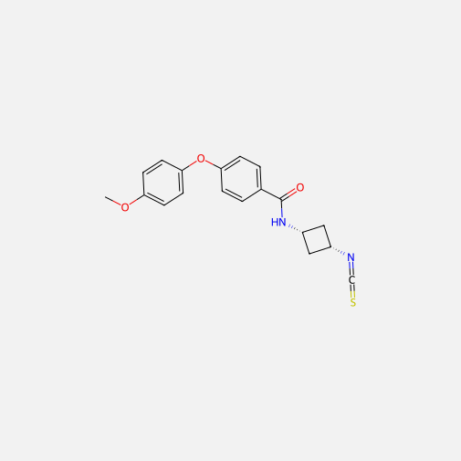 COc1ccc(Oc2ccc(C(=O)N[C@H]3C[C@@H](N=C=S)C3)cc2)cc1